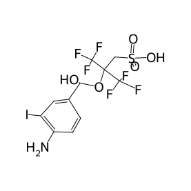 Nc1ccc(C(O)OC(CS(=O)(=O)O)(C(F)(F)F)C(F)(F)F)cc1I